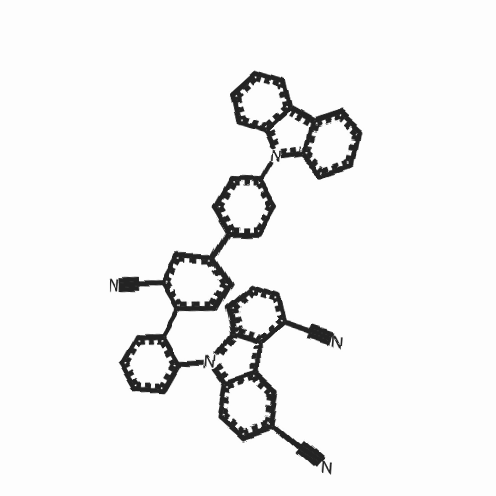 N#Cc1ccc2c(c1)c1c(C#N)cccc1n2-c1ccccc1-c1ccc(-c2ccc(-n3c4ccccc4c4ccccc43)cc2)cc1C#N